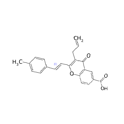 C=CCc1c(/C=C/c2ccc(C)cc2)oc2ccc(C(=O)O)cc2c1=O